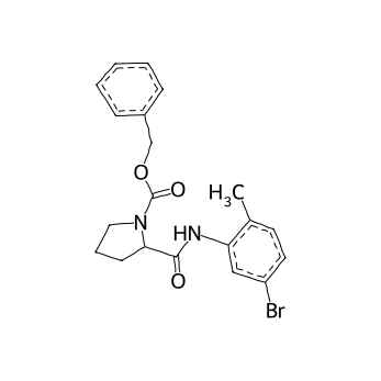 Cc1ccc(Br)cc1NC(=O)C1CCCN1C(=O)OCc1ccccc1